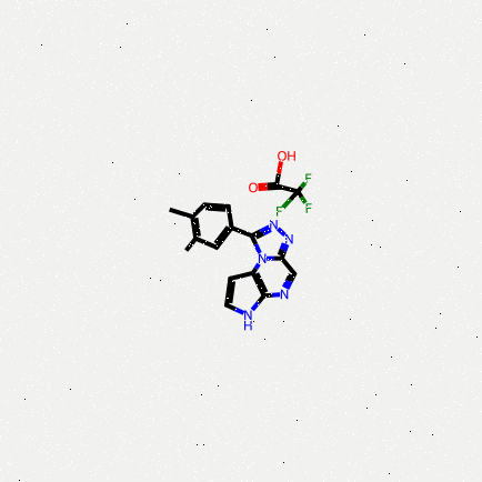 Cc1ccc(-c2nnc3cnc4[nH]ccc4n23)cc1C.O=C(O)C(F)(F)F